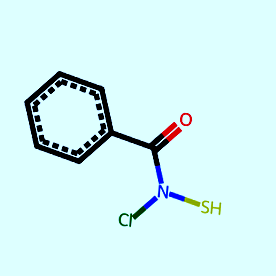 O=C(c1ccccc1)N(S)Cl